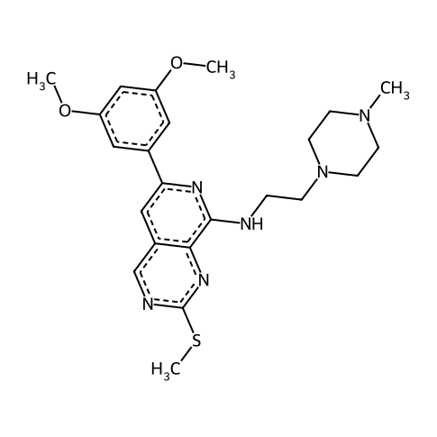 COc1cc(OC)cc(-c2cc3cnc(SC)nc3c(NCCN3CCN(C)CC3)n2)c1